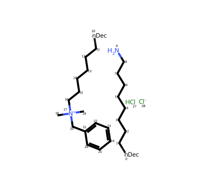 CCCCCCCCCCCCCCCCCCN.CCCCCCCCCCCCCCCC[N+](C)(C)Cc1ccccc1.Cl.[Cl-]